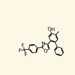 Cc1cc(-c2ccccc2)c(-c2coc(-c3ccc(C(F)(F)F)cc3)n2)cc1O